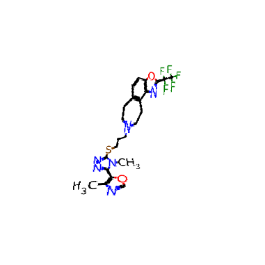 Cc1ncoc1-c1nnc(SCCCN2CCc3ccc4oc(C(F)(F)C(F)(F)F)nc4c3CC2)n1C